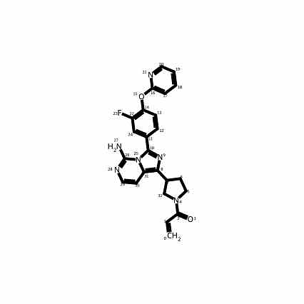 C=CC(=O)N1CCC(c2nc(-c3ccc(Oc4ccccn4)c(F)c3)n3c(N)nccc23)C1